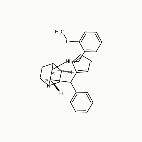 COc1ccccc1CN[C@@H]1C2CCN(CC2)[C@H]1C(c1ccccc1)c1ccsc1